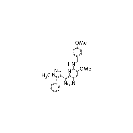 COc1ccc(CNc2nc3c(-c4cnn(C)c4-c4ccccc4)ncnc3cc2OC)cc1